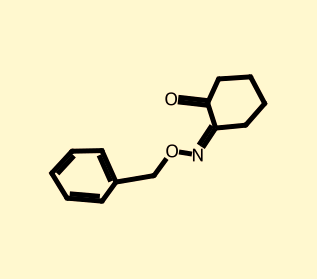 O=C1CCCC/C1=N/OCc1ccccc1